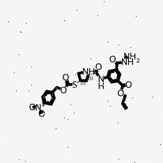 C=CCOC(=O)c1cc(NC(=O)[C@@H]2C[C@H](SC(=O)OCc3ccc([N+](=O)[O-])cc3)CN2)cc(C(=O)NN)c1